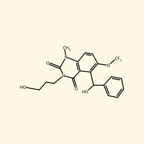 Cn1c(=O)n(CCCO)c(=O)c2c(C(O)c3ccccc3)c(OC(F)(F)F)ccc21